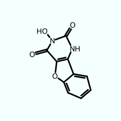 O=c1[nH]c2c(oc3ccccc32)c(=O)n1O